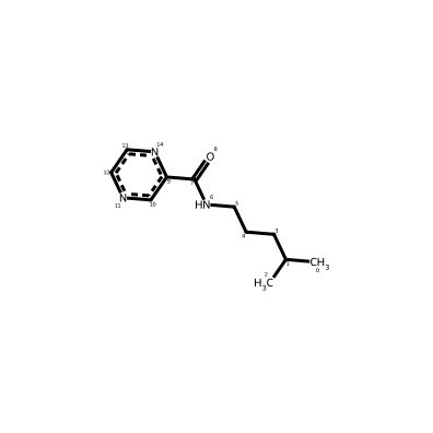 CC(C)CCCNC(=O)c1cnccn1